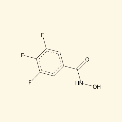 O=C(NO)c1cc(F)c(F)c(F)c1